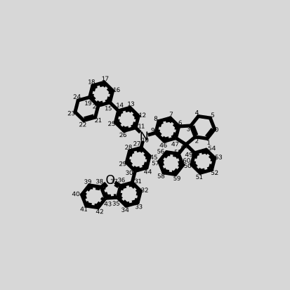 C1=CC2=C(CC1)c1ccc(N(c3ccc(-c4cccc5c4C=CCC5)cc3)c3ccc(-c4cccc5c4oc4ccccc45)cc3)cc1C2(c1ccccc1)c1ccccc1